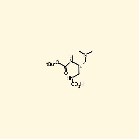 CN(C)C[C@H](CNC(=O)O)NC(=O)OC(C)(C)C